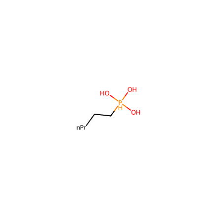 CCCCC[PH](O)(O)O